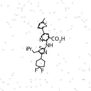 Cc1ccc(-c2cnc(Nc3nc(C4CCC(F)(F)CC4)c(CC(C)C)s3)c(C(=O)O)c2)s1